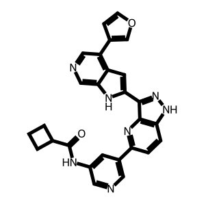 O=C(Nc1cncc(-c2ccc3[nH]nc(-c4cc5c(-c6ccoc6)cncc5[nH]4)c3n2)c1)C1CCC1